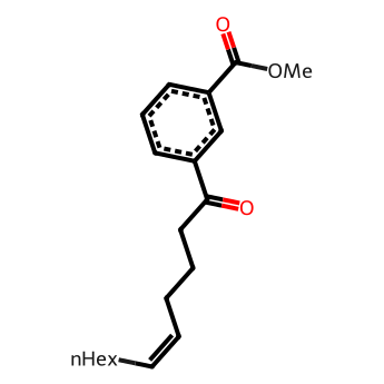 CCCCCC/C=C\CCCC(=O)c1cccc(C(=O)OC)c1